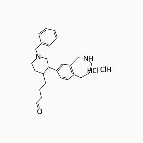 Cl.Cl.O=CCCCC1CCN(Cc2ccccc2)CC1c1ccc2c(c1)CNCCC2